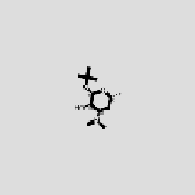 C[C@@H]1C[C@H](N(C)C)[C@@H](O)[C@@H](OC(C)(C)C)O1